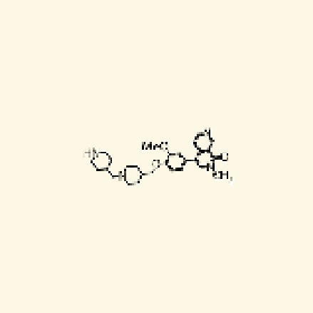 COc1cc(-c2cn(C)c(=O)c3cnccc23)ccc1OCC1CCN(CC2CCNCC2)CC1